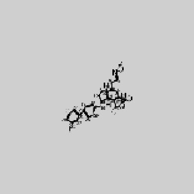 CON=CC[C@H]1C[C@H]2C(=O)O[C@H](C)[C@H]2[C@H]2[C@H](Cc3ccc(-c4cccc(F)c4)cn3)CC[C@H]12